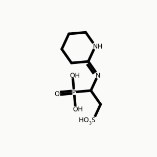 O=P(O)(O)C(CS(=O)(=O)O)N=C1CCCCN1